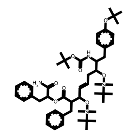 CC(C)(C)OC(=O)NC(Cc1ccc(OC(C)(C)C)cc1)C(C/C=C/C(O[Si](C)(C)C(C)(C)C)C(Cc1ccccc1)C(=O)OC(Cc1ccccc1)C(N)=O)O[Si](C)(C)C(C)(C)C